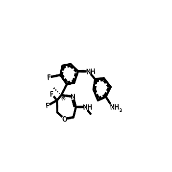 CNC1=N[C@](C)(c2cc(Nc3ccc(N)cc3)ccc2F)C(F)(F)COC1